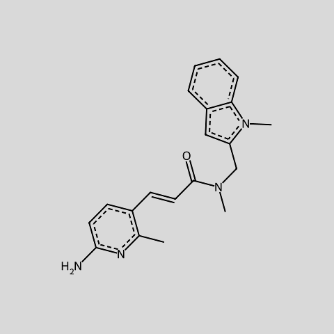 Cc1nc(N)ccc1/C=C/C(=O)N(C)Cc1cc2ccccc2n1C